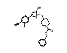 N#Cc1ccc(-c2cc(O)n(CC3CCN(C(=O)OCc4ccccc4)CC3)n2)cc1F